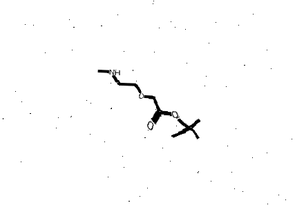 CNCCOCC(=O)OC(C)(C)C